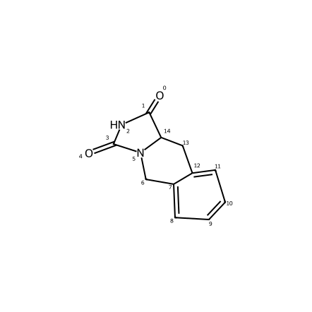 O=C1NC(=O)N2Cc3ccccc3CC12